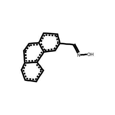 ON=Cc1ccc2ccc3ccccc3c2c1